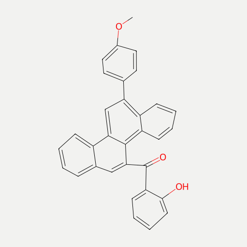 COc1ccc(-c2cc3c4ccccc4cc(C(=O)c4ccccc4O)c3c3ccccc23)cc1